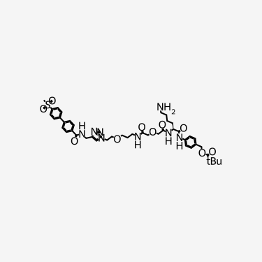 CC(C)(C)C(=O)OCc1ccc(NC(=O)[C@H](CCCCN)NC(=O)COCC(=O)NCCCOCCn2cc(CNC(=O)c3ccc(-c4ccc(S(C)(=O)=O)cc4)cc3)nn2)cc1